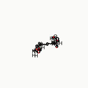 CN[C@@H](C)C(=O)NC1CCCC2CC[C@@H](C(=O)N[C@@H](c3ccccc3)c3cn(CCCCc4ccc(CCCCn5cc([C@@H](NC(=O)C6CCC7CCCC(NC(O)[C@H](C)NC)C(=O)N76)c6ccccc6)nn5)cc4)nn3)N2C1=O